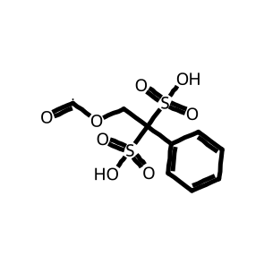 O=[C]OCC(c1ccccc1)(S(=O)(=O)O)S(=O)(=O)O